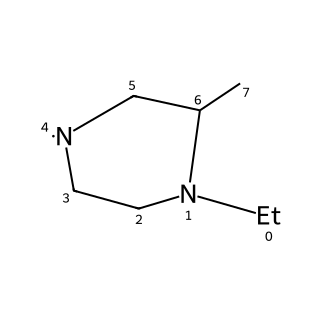 CCN1CC[N]CC1C